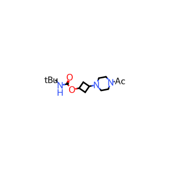 CC(=O)N1CCN(C2CC(OC(=O)NC(C)(C)C)C2)CC1